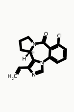 C=Cc1ncn2c1[C@@H]1CCCN1C(=O)c1c(Cl)cccc1-2